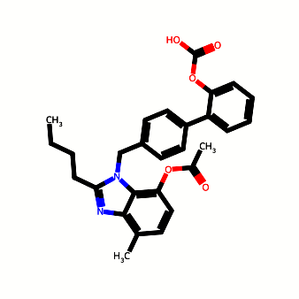 CCCCc1nc2c(C)ccc(OC(C)=O)c2n1Cc1ccc(-c2ccccc2OC(=O)O)cc1